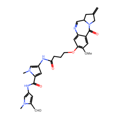 C=C1CC2C=Nc3cc(OCCCC(=O)Nc4cc(C(=O)Nc5cc(C=O)n(C)c5)n(C)c4)c(OC)cc3C(=O)N2C1